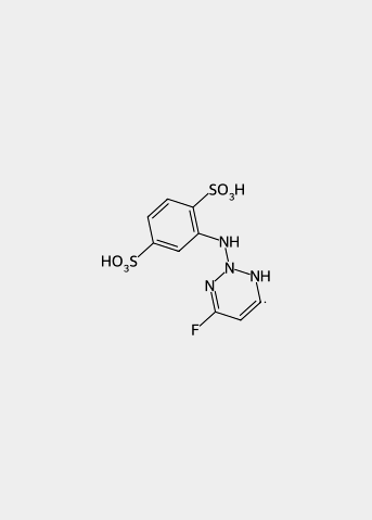 O=S(=O)(O)c1ccc(S(=O)(=O)O)c(NN2N=C(F)C=[C]N2)c1